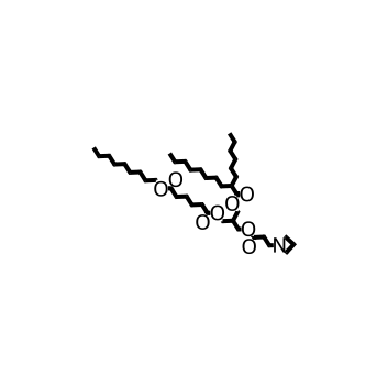 CCCCCCCCCOC(=O)CCCCC(=O)OCC(COC(=O)CCN1CCC1)COC(=O)C(CCCCCC)CCCCCCCC